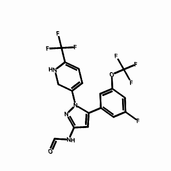 O=CNc1cc(-c2cc(F)cc(OC(F)(F)F)c2)n(C2=CC=C(C(F)(F)F)NC2)n1